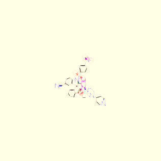 CCOc1ccccc1C1(C(=O)NN2CCN(c3ccncc3)CC2)C(=O)N(S(=O)(=O)c2ccc([N+](=O)[O-])cc2)c2ccc(C#N)cc21